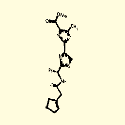 COC(=O)c1nc(-c2csc([C@@H](NC(=O)CC3=CCCC3)C(C)C)n2)oc1C